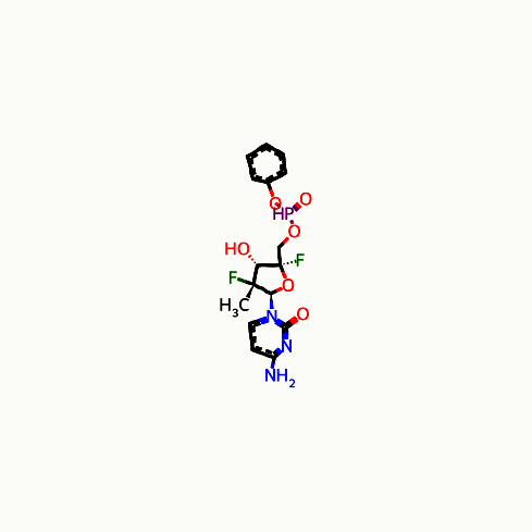 C[C@]1(F)[C@H](n2ccc(N)nc2=O)O[C@](F)(CO[PH](=O)Oc2ccccc2)[C@H]1O